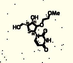 COCCOC1[C@@H](O)[C@@H](CO)S[C@H]1n1ccc(=O)[nH]c1=O